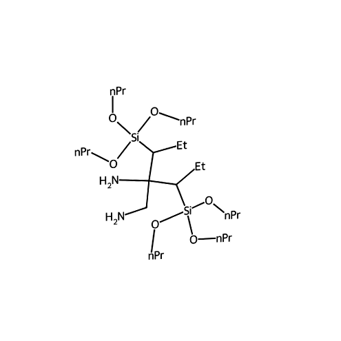 CCCO[Si](OCCC)(OCCC)C(CC)C(N)(CN)C(CC)[Si](OCCC)(OCCC)OCCC